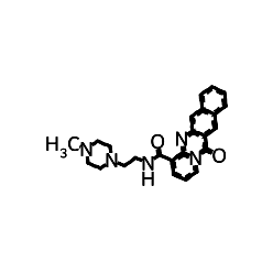 CN1CCN(CCNC(=O)c2cccn3c(=O)c4cc5ccccc5cc4nc23)CC1